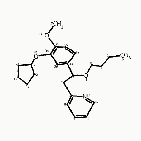 CCCCOC(Cc1ccccn1)c1ccc(OC)c(OC2CCCC2)c1